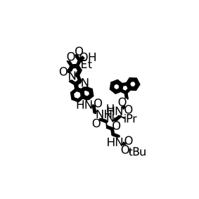 CC[C@@]1(O)C(=O)OCc2c1cc1n(c2=O)Cc2c-1nc1ccc(NC(=O)CNC(=O)[C@H](CCCCNC(=O)OC(C)(C)C)NC(=O)[C@@H](NC(=O)OCC3c4ccccc4-c4ccccc43)C(C)C)c3c1c2CCC3